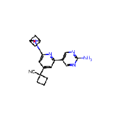 N#CC1(c2cc(-c3cnc(N)nc3)nc(N3CC4CC3C4)c2)CCC1